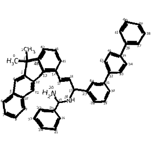 CC1(C)c2cc3ccccc3cc2-c2c(/C=C/C(NC(N)c3ccccc3)c3cccc(-c4ccc(-c5ccccc5)cc4)c3)cccc21